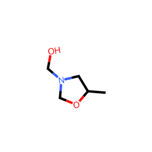 CC1CN(CO)CO1